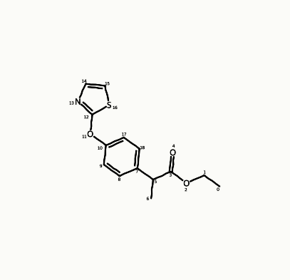 CCOC(=O)C(C)c1ccc(Oc2nccs2)cc1